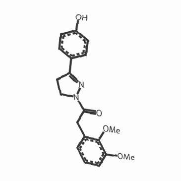 COc1cccc(CC(=O)N2CCC(c3ccc(O)cc3)=N2)c1OC